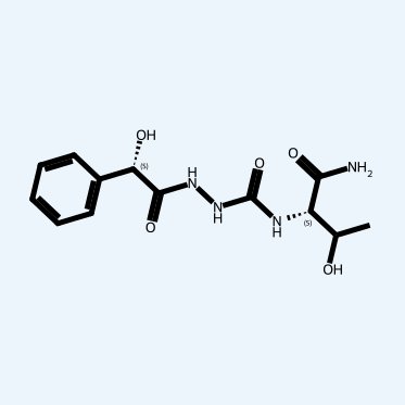 CC(O)[C@H](NC(=O)NNC(=O)[C@@H](O)c1ccccc1)C(N)=O